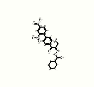 CC/C(=N/OC(=O)C1CCCCC1)C(=O)c1ccc(-c2ccc([N+](=O)[O-])cc2[N+](=O)[O-])cc1